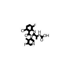 Cc1c(F)cncc1-n1c(C(C)NC(=O)O)nc2c(F)ccc(Cl)c2c1=O